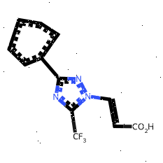 O=C(O)C=Cn1nc(-c2ccccc2)nc1C(F)(F)F